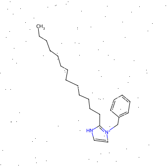 CCCCCCCCCCCCCc1[nH]cc[n+]1Cc1ccccc1